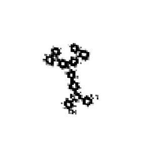 N#Cc1cccc(-c2cc(-c3ccc(-c4ccc(-n5c6ccc(-n7c8ccccc8c8ccccc87)cc6c6cc(-n7c8ccccc8c8ccccc87)ccc65)cc4)cc3)nc(-c3cccc(C#N)c3)n2)c1